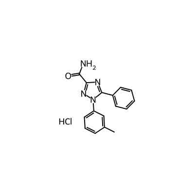 Cc1cccc(-n2nc(C(N)=O)nc2-c2ccccc2)c1.Cl